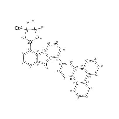 CCC1(C)OB(c2cccc3oc4c(-c5ccc6c7ccccc7c7ccccc7c6c5)cccc4c23)OC1(C)C